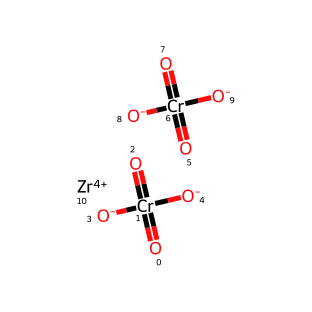 [O]=[Cr](=[O])([O-])[O-].[O]=[Cr](=[O])([O-])[O-].[Zr+4]